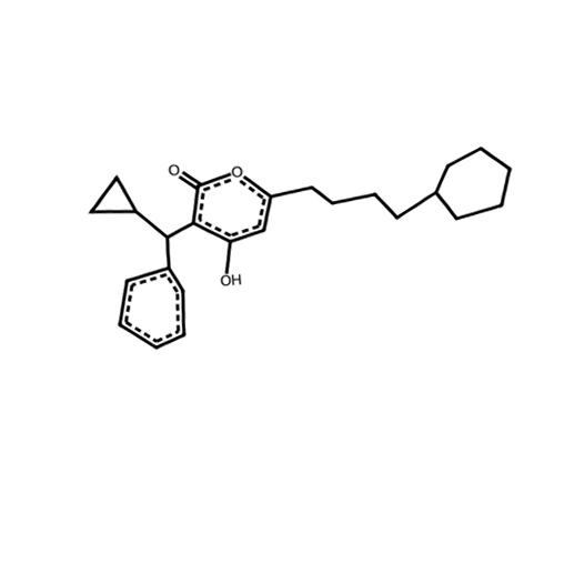 O=c1oc(CCCCC2CCCCC2)cc(O)c1C(c1ccccc1)C1CC1